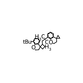 CC(C)(C)c1cccc2c1OCCC21CCC1CC(C)(C)c1cccc2c1OCCC21CC1